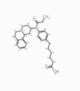 CCC(=O)N(c1ccc(CCCCCC(=O)O)cc1)C1CCN2CCc3ccccc3C2C1